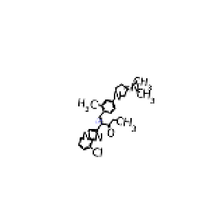 CCC(=O)/C(=C\c1ccc(N2CC[C@H](N(C)C)C2)cc1C)c1cn2cccc(Cl)c2n1